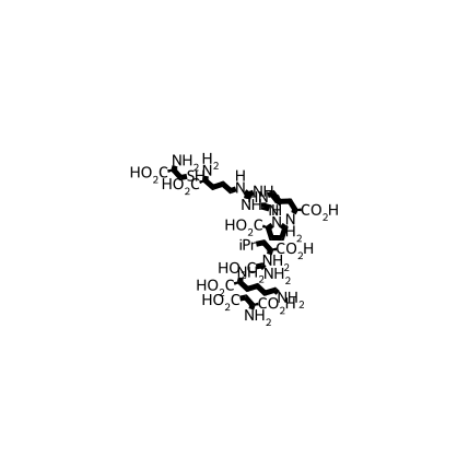 CC(C)C[C@H](N)C(=O)O.N=C(N)NCCC[C@H](N)C(=O)O.NCC(=O)O.NCCCC[C@H](N)C(=O)O.N[C@@H](CC(=O)O)C(=O)O.N[C@@H](CS)C(=O)O.N[C@@H](Cc1c[nH]cn1)C(=O)O.O=C(O)[C@@H]1CCCN1